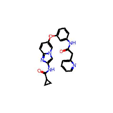 O=C(Cc1ccccn1)Nc1cccc(Oc2ccc3nc(NC(=O)C4CC4)cn3c2)c1